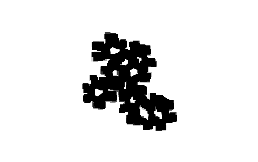 c1ccc(-c2cc(-c3ccccc3)c3c(n2)c(-c2ccc4ccc5cccnc5c4n2)cc2ccccc23)cc1